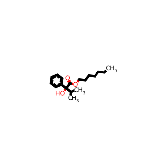 CCCCCCCOC(=O)C(O)(c1ccccc1)C(C)C